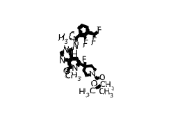 COc1nc(C2(F)CCN(C(=O)OC(C)(C)C)CC2)cc2c(N[C@H](C)c3cccc(C(F)F)c3F)ncnc12